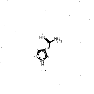 CC(=N)N.c1cn[nH]c1